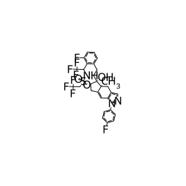 C[C@]12Cc3cnn(-c4ccc(F)cc4)c3C=C1CC[C@@]2(O)CCc1cccc(F)c1[C@@H](NS(=O)(=O)CC(F)(F)F)C(F)(F)F